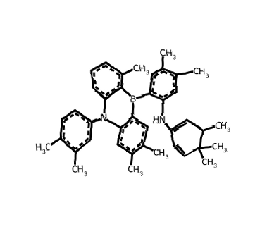 Cc1ccc(N2c3cc(C)c(C)cc3B(c3cc(C)c(C)cc3NC3=CC(C)C(C)(C)C=C3)c3c(C)cccc32)cc1C